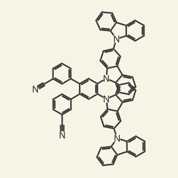 N#Cc1cccc(-c2cc(-n3c4ccccc4c4cc(-n5c6ccccc6c6ccccc65)ccc43)c(-n3c4ccccc4c4cc(-n5c6ccccc6c6ccccc65)ccc43)cc2-c2cccc(C#N)c2)c1